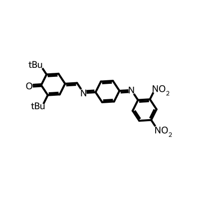 CC(C)(C)C1=CC(=CN=C2C=CC(=Nc3ccc([N+](=O)[O-])cc3[N+](=O)[O-])C=C2)C=C(C(C)(C)C)C1=O